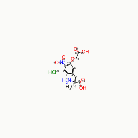 C[C@](N)(Cc1ccc([N+](=O)[O-])c(OCC(=O)O)c1)C(=O)O.Cl